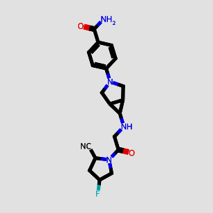 N#CC1CC(F)CN1C(=O)CNC1C2CN(c3ccc(C(N)=O)cc3)CC21